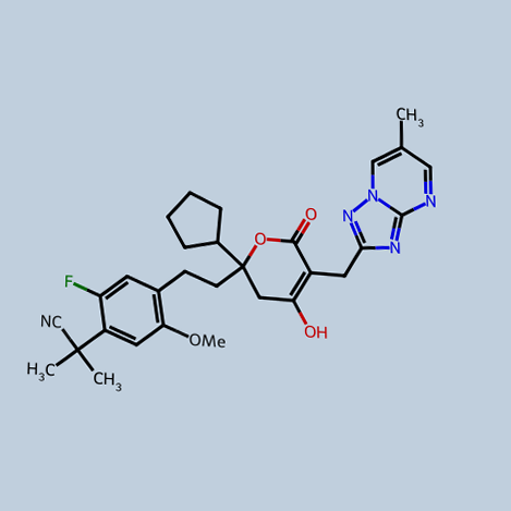 COc1cc(C(C)(C)C#N)c(F)cc1CCC1(C2CCCC2)CC(O)=C(Cc2nc3ncc(C)cn3n2)C(=O)O1